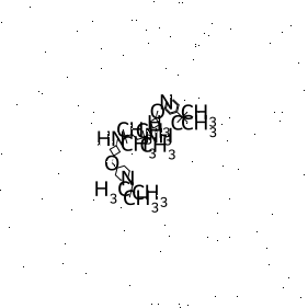 CC(C)(C)CN1CCC(O[C@H]2C[C@H](NC(C)(C)CCC(C)(C)N[C@H]3C[C@H](Oc4cc(C(C)(C)C)ccn4)C3)C2)CC1